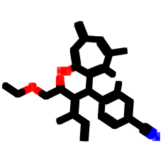 C=C/C(C)=C(/C(=O)COCC)C(C1=C(C)C(C)=CC(=C)C=C1O)c1ccc(C#N)cc1C